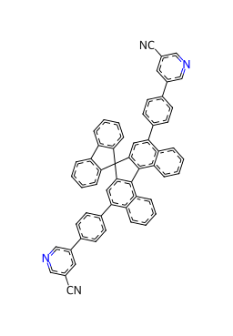 N#Cc1cncc(-c2ccc(-c3cc4c(c5ccccc35)-c3c(cc(-c5ccc(-c6cncc(C#N)c6)cc5)c5ccccc35)C43c4ccccc4-c4ccccc43)cc2)c1